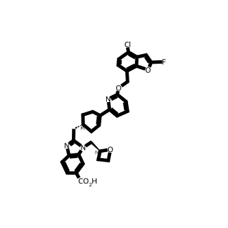 O=C(O)c1ccc2nc(C[C@H]3CC=C(c4cccc(OCc5ccc(Cl)c6cc(F)oc56)n4)CC3)n(C[C@@H]3CCO3)c2c1